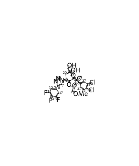 COCCO[C@@H]1[C@@H](n2cc(-c3cc(F)c(F)c(F)c3)nn2)C[C@](O)(CO)O[C@@H]1S(=O)(=O)c1ccc(Cl)c(Cl)c1